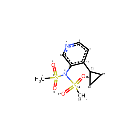 CS(=O)(=O)N(c1cnccc1C1CC1)S(C)(=O)=O